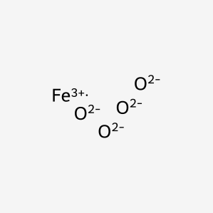 [Fe+3].[O-2].[O-2].[O-2].[O-2]